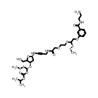 CSSC(COc1cccc(C(=O)NCCN)c1)OCCOCC(=O)NCC#CB[C@H]1C[C@@H](O[C@H](OC(=O)OC(C)C)SSC)C(CO)O1